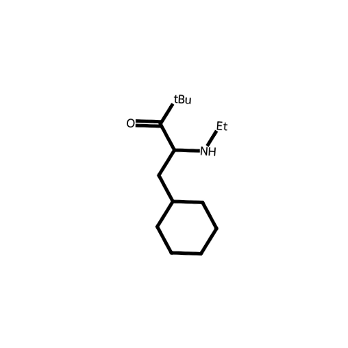 CCNC(CC1CCCCC1)C(=O)C(C)(C)C